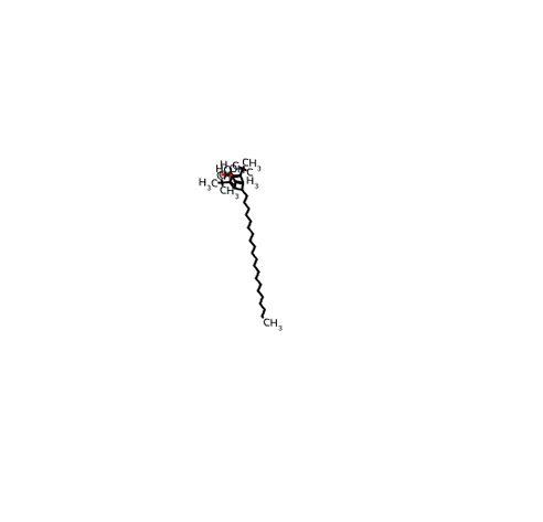 CCCCCCCCCCCCCCCCCCCCCC1c2c(C(=O)O)c1c(C(C)(C)C)c(O)c2C(C)(C)C